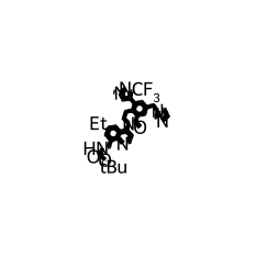 CCc1cc(CNC(=O)OC(C)(C)C)c2nccc(N3CCc4c(cc(Cn5ccnc5)cc4-c4cn(C)nc4C(F)(F)F)C3=O)c2c1